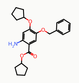 Nc1cc(OC2CCCC2)c(OCc2ccccc2)cc1C(=O)OC1CCCC1